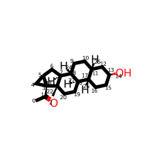 CC(=O)[C@@]12CC1C[C@H]1[C@@H]3CC[C@@H]4C[C@@H](O)CC[C@@H]4[C@H]3CC[C@@]12C